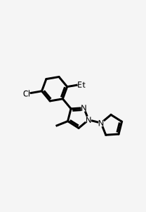 CCC1=C(c2nn(N3CC=CC3)cc2C)C=C(Cl)CC1